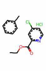 CCOC(=O)c1cc(Cl)ccn1.Cc1ccccc1.Cl